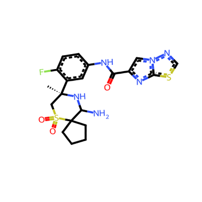 C[C@@]1(c2cc(NC(=O)c3cn4ncsc4n3)ccc2F)CS(=O)(=O)C2(CCCC2)C(N)N1